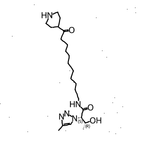 Cc1cn([C@H](C(=O)NCCCCCCCCCCC(=O)C2CCNCC2)[C@@H](C)O)nn1